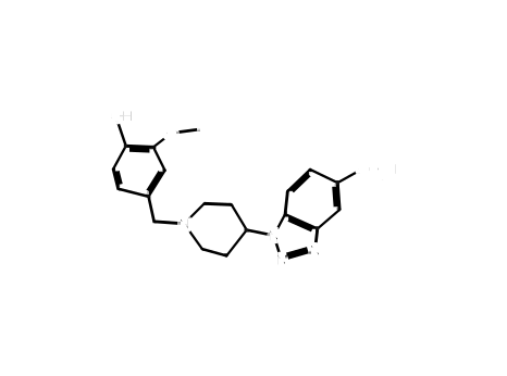 CCOc1cc(CN2CCC(n3nnc4cc(C(=O)O)ccc43)CC2)ccc1O